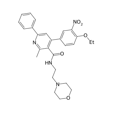 CCOc1ccc(-c2cc(-c3ccccc3)nc(C)c2C(=O)NCCN2CCOCC2)cc1[N+](=O)[O-]